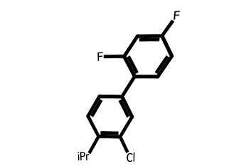 CC(C)c1ccc(-c2ccc(F)cc2F)cc1Cl